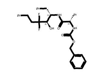 CC(C)CCC(F)(F)[C@H](O)[C@H](CC(C)C)NC(=O)[C@@H](NC(=O)OCc1ccccc1)C(C)C